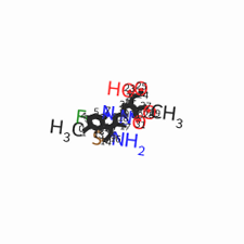 CCc1c(F)cc2nc3c(c4c2c1SCC4N)Cn1c-3cc(C(O)C=O)c(COC)c1=O